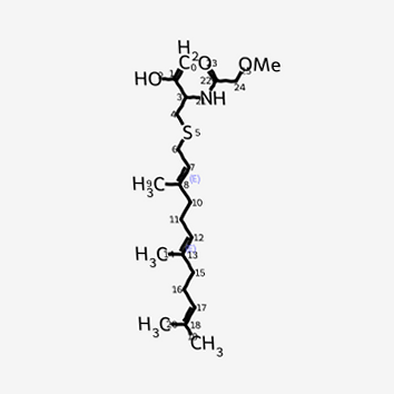 C=C(O)C(CSC/C=C(\C)CC/C=C(\C)CCC=C(C)C)NC(=O)COC